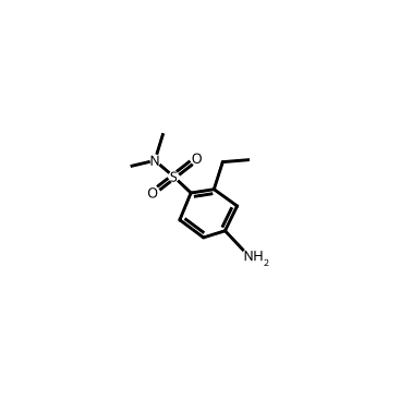 CCc1cc(N)ccc1S(=O)(=O)N(C)C